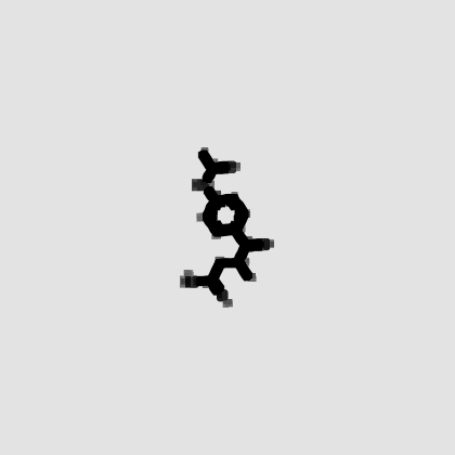 CC(=O)Nc1ccc(C(=O)C(C)CC(=O)O)cc1